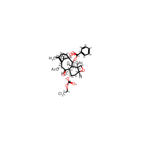 CC(=O)O[C@H]1C(=O)[C@]2(C)[C@@H](OC(=O)OCC(Cl)(Cl)Cl)C[C@H]3OC[C@@]3(OC(C)=O)[C@H]2[C@H](OC(=O)c2ccccc2)[C@]2(O)C[CH]C(C)=C1C2(C)C